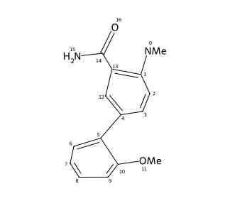 CNc1ccc(-c2ccccc2OC)cc1C(N)=O